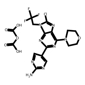 Nc1ncc(-c2nc(N3CCOCC3)c3nc(Cl)n(CC(F)(F)F)c3n2)cn1.O=C(O)OC(=O)O